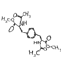 COC(=O)C(=Cc1ccc(C=C(NC(C)=O)C(=O)OC)cc1)NC(C)=O